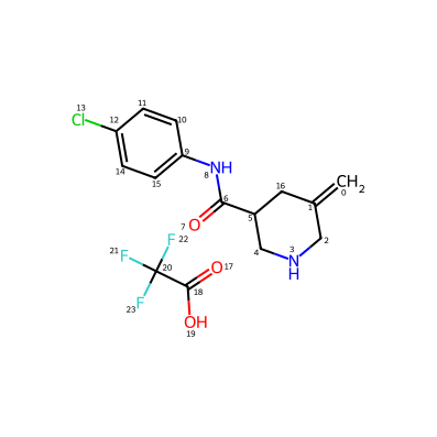 C=C1CNCC(C(=O)Nc2ccc(Cl)cc2)C1.O=C(O)C(F)(F)F